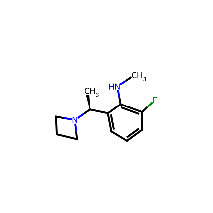 CNc1c(F)cccc1[C@H](C)N1CCC1